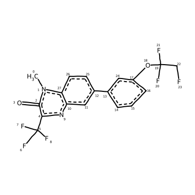 Cn1c(=O)c(C(F)(F)F)nc2cc(-c3cccc(OC(F)(F)CF)c3)ccc21